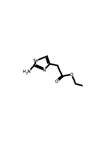 CCOC(=O)Cc1c[se]c(N)n1